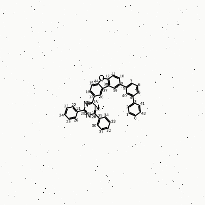 c1ccc(-c2cccc(-c3ccc4oc5ccc(-c6nc(-c7ccccc7)nc(-c7ccccc7)n6)cc5c4c3)c2)cc1